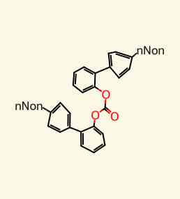 CCCCCCCCCc1ccc(-c2ccccc2OC(=O)Oc2ccccc2-c2ccc(CCCCCCCCC)cc2)cc1